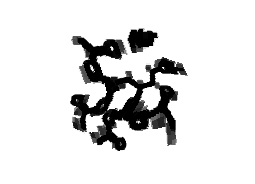 CC(=O)ON(CC(CCO)N(OC(C)=O)OC(C)=O)OC(C)=O.[Na]